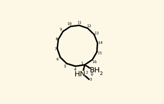 BC1(NC)CCCCCCCCCCCCC1